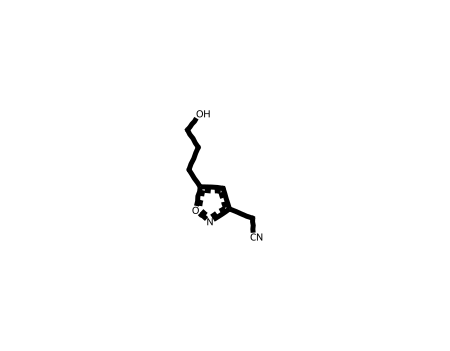 N#CCc1cc(CCCO)on1